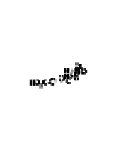 CCc1ccccc1Nc1nnc(C(=O)Nc2ccc([C@H]3CC[C@H](CC(=O)O)CC3)cc2)o1